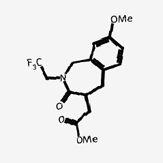 COC(=O)CC1Cc2ccc(OC)cc2CN(CC(F)(F)F)C1=O